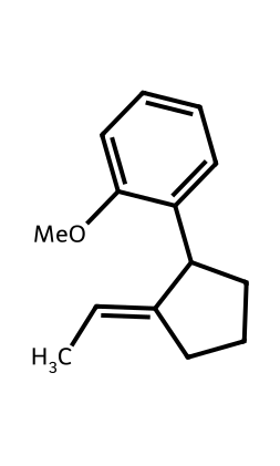 CC=C1CCCC1c1ccccc1OC